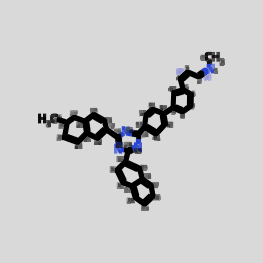 C/N=C\C=C/c1cccc(-c2ccc(-c3nc(-c4ccc5c(c4)C=CC(C)C5)nc(-c4ccc5ccccc5c4)n3)cc2)c1